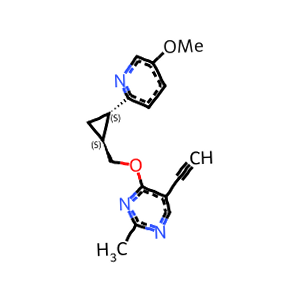 C#Cc1cnc(C)nc1OC[C@H]1C[C@@H]1c1ccc(OC)cn1